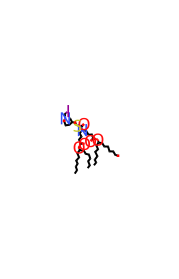 CCCCCCCC(CCCCCCC)OC(=O)CCCN(CCCC(=O)OC(CCCCCCC)CCCCCCC)C(=O)SCC1CCCN(CI)C1